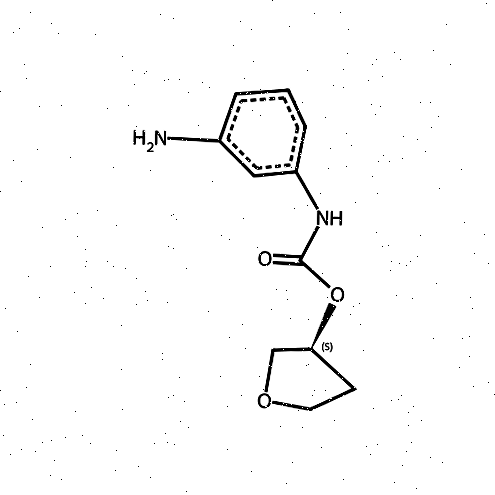 Nc1cccc(NC(=O)O[C@H]2CCOC2)c1